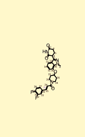 Cn1nc(C2CCC(=O)NC2=O)c2cccc(OC3CCN(C(=O)/C=C/c4ccc(F)c(F)c4)CC3)c21